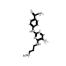 CC(=O)NCCCNc1nc(Nc2ccc(C(N)=O)cc2)ncc1C(F)(F)F